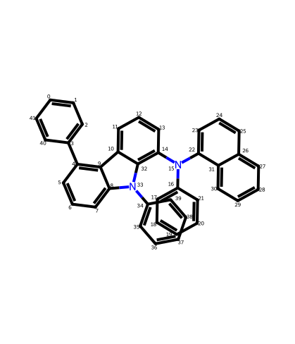 c1ccc(-c2cccc3c2c2cccc(N(c4ccccc4)c4cccc5ccccc45)c2n3-c2ccccc2)cc1